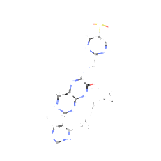 CCS(=O)(=O)c1cnc(CNc2nc3c(C)nc(-c4c(C)ncnc4C4CC4)nc3n(C(C)C3CC3)c2=O)nc1